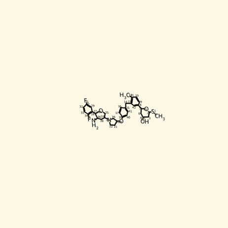 CSC1C[C@H](O)CC(c2ccc(C)c(Cc3ccc(OC4CCN(C5COC(c6cc(F)ccc6F)C(N)C5)C4)cc3)c2)O1